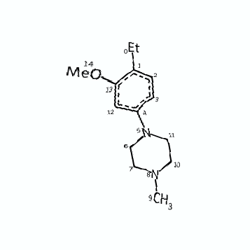 CCc1ccc(N2CCN(C)CC2)cc1OC